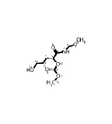 COCNC(=O)[C@@H](C[C@H](O)CO)OCOC